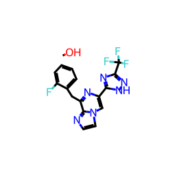 CO.Fc1ccccc1Cc1nc(-c2nc(C(F)(F)F)n[nH]2)cn2ccnc12